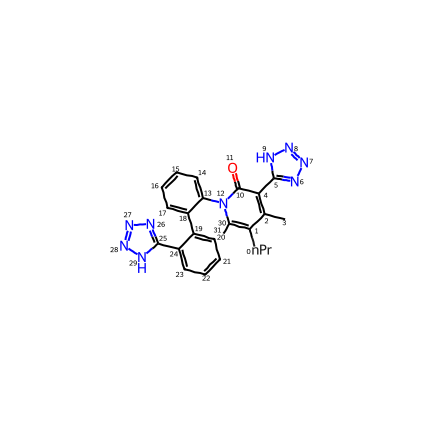 CCCc1c(C)c(-c2nnn[nH]2)c(=O)n(-c2ccccc2-c2ccccc2-c2nnn[nH]2)c1C